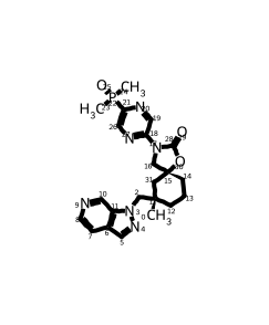 C[C@]1(Cn2ncc3ccncc32)CCC[C@]2(CN(c3cnc(P(C)(C)=O)cn3)C(=O)O2)C1